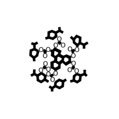 CC1CCC(C(C)C)C(OC(=O)Oc2cc3c4cc(OC(=O)OC5CC(C)CCC5C(C)C)c(OC(=O)OC5CC(C)CCC5C(C)C)cc4c4cc(OC(=O)OC5CC(C)CCC5C(C)C)c(OC(=O)OC5CC(C)CCC5C(C)C)cc4c3cc2OC(=O)OC2CC(C)CCC2C(C)C)C1